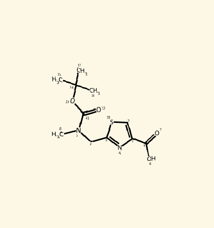 CN(Cc1nc(C(=O)O)cs1)C(=O)OC(C)(C)C